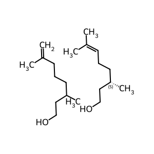 C=C(C)CCCC(C)CCO.CC(C)=CCC[C@H](C)CCO